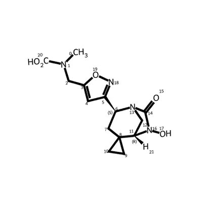 CN(Cc1cc([C@@H]2CC3(CC3)[C@@H]3CN2C(=O)N3O)no1)C(=O)O